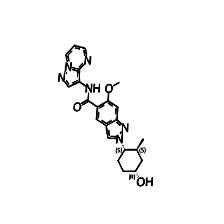 COc1cc2nn([C@H]3CC[C@@H](O)C[C@@H]3C)cc2cc1C(=O)Nc1cnn2cccnc12